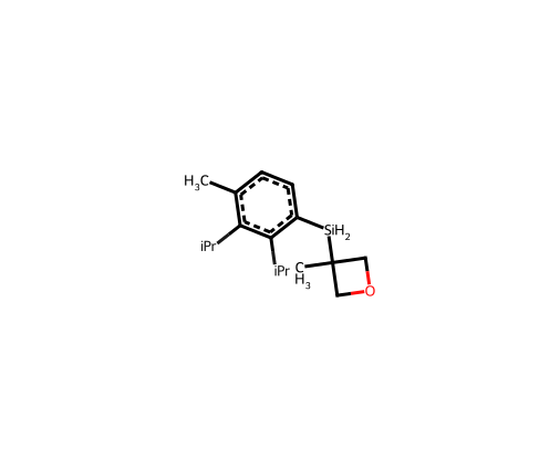 Cc1ccc([SiH2]C2(C)COC2)c(C(C)C)c1C(C)C